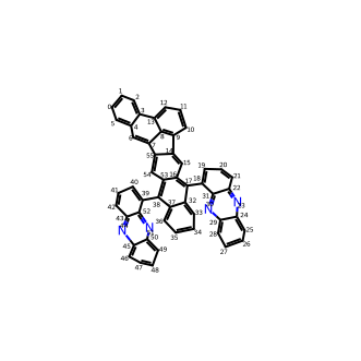 c1ccc2c(c1)cc1c3c(cccc32)-c2cc3c(-c4cccc5nc6ccccc6nc45)c4ccccc4c(-c4cccc5nc6ccccc6nc45)c3cc2-1